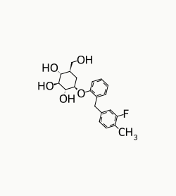 Cc1ccc(Cc2ccccc2O[C@@H]2C[C@H](CO)[C@@H](O)[C@H](O)[C@H]2O)cc1F